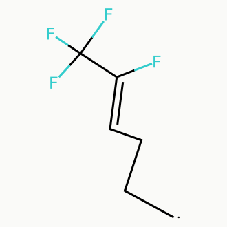 [CH2]CCC=C(F)C(F)(F)F